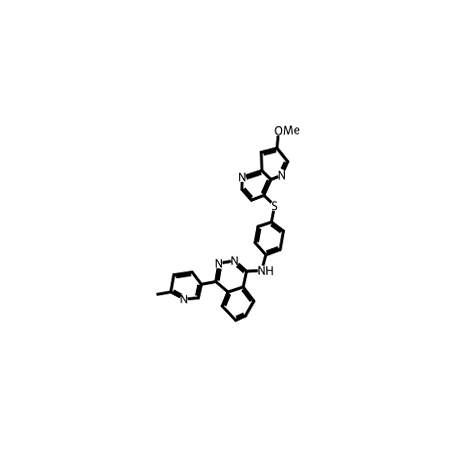 COc1cnc2c(Sc3ccc(Nc4nnc(-c5ccc(C)nc5)c5ccccc45)cc3)ccnc2c1